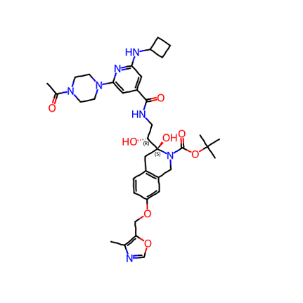 CC(=O)N1CCN(c2cc(C(=O)NC[C@@H](O)[C@@]3(O)Cc4ccc(OCc5ocnc5C)cc4CN3C(=O)OC(C)(C)C)cc(NC3CCC3)n2)CC1